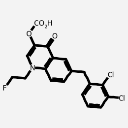 O=C(O)Oc1cn(CCF)c2ccc(Cc3cccc(Cl)c3Cl)cc2c1=O